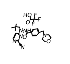 CC(C)(C)CN(NC(=O)c1ccc(CN2CCOCC2)cc1)c1ccnc(C#N)n1.O=C(O)C(F)(F)F